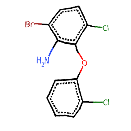 Nc1c(Br)ccc(Cl)c1Oc1ccccc1Cl